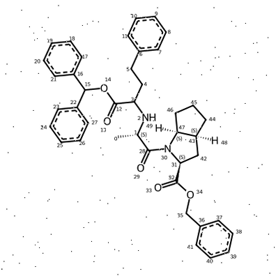 C[C@H](NC(CCc1ccccc1)C(=O)OC(c1ccccc1)c1ccccc1)C(=O)N1[C@H](C(=O)OCc2ccccc2)C[C@@H]2CCC[C@@H]21